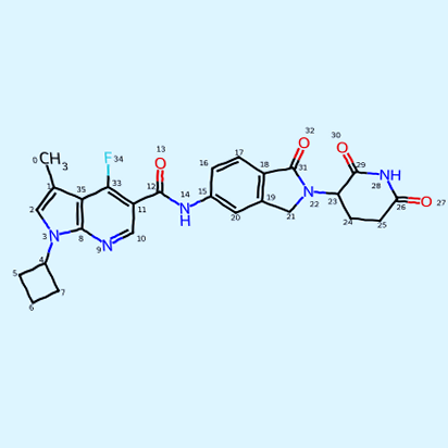 Cc1cn(C2CCC2)c2ncc(C(=O)Nc3ccc4c(c3)CN(C3CCC(=O)NC3=O)C4=O)c(F)c12